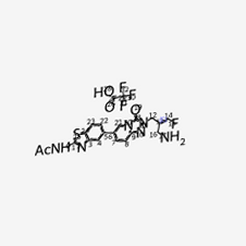 CC(=O)Nc1nc2cc(-c3ccc4nn(C/C(=C/F)CN)c(=O)n4c3)ccc2s1.O=C(O)C(F)(F)F